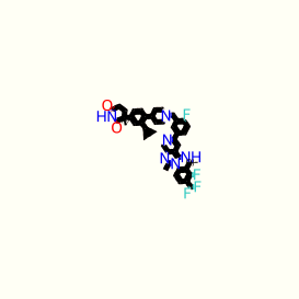 Cc1nc(N[C@H](C)c2cccc(C(F)F)c2F)c2cc(-c3ccc(F)c(CN4CCC(c5ccc([C@@]6(C)CCC(=O)NC6=O)cc5C5CC5)CC4)c3)ncc2n1